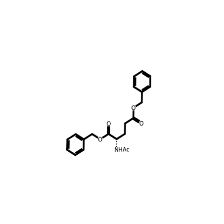 CC(=O)N[C@@H](CCC(=O)OCc1ccccc1)C(=O)OCc1ccccc1